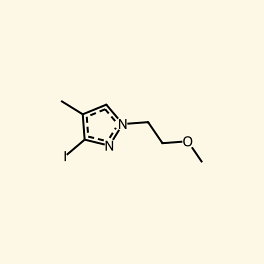 COCCn1cc(C)c(I)n1